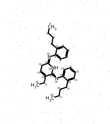 CCCCc1ccccc1N=C1CC=C(CC)C(=Nc2ccccc2CCCC)N1